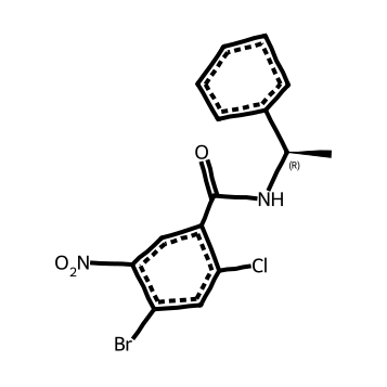 C[C@@H](NC(=O)c1cc([N+](=O)[O-])c(Br)cc1Cl)c1ccccc1